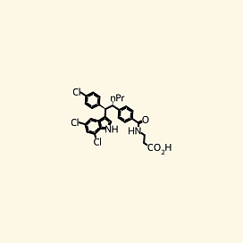 CCC[C@H](c1ccc(C(=O)NCCC(=O)O)cc1)[C@H](c1ccc(Cl)cc1)c1c[nH]c2c(Cl)cc(Cl)cc12